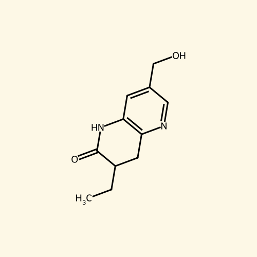 CCC1Cc2ncc(CO)cc2NC1=O